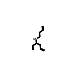 C=CCCN[C](CC)CC=C